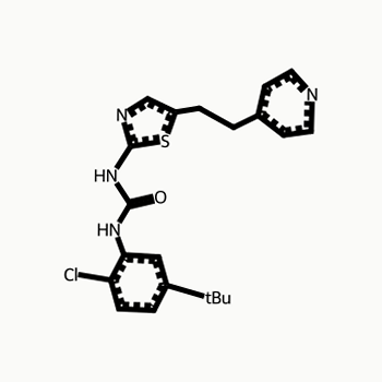 CC(C)(C)c1ccc(Cl)c(NC(=O)Nc2ncc(CCc3ccncc3)s2)c1